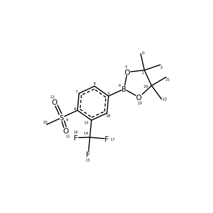 CC1(C)OB(c2ccc(S(C)(=O)=O)c(C(F)(F)F)c2)OC1(C)C